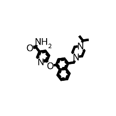 CC(C)N1CCN(Cc2ccc(Oc3ccc(C(N)=O)cn3)c3ccccc23)CC1